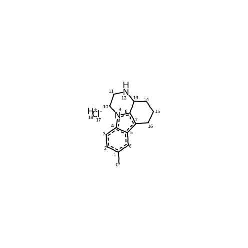 Cc1ccc2c(c1)c1c3n2CCNC3CCC1.[Cl-].[H+]